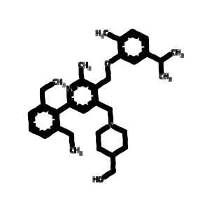 CCc1cccc(CC)c1-c1cc(CN2CCC(CO)CC2)c(COc2cc(C(C)C)ccc2C)c(C)n1